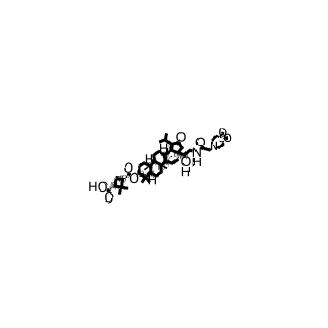 CC(C)C1=C2[C@H]3CC[C@@H]4[C@@]5(C)CC[C@H](OC(=O)[C@H]6C[C@@H](C(=O)O)C6(C)C)C(C)(C)[C@@H]5CC[C@@]4(C)[C@]3(C)CC[C@@]2([C@@H](O)CNC(=O)CN2CCS(=O)(=O)CC2)CC1=O